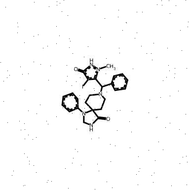 Cn1[nH]c(=O)c(I)c1C(c1ccccc1)N1CCC2(CC1)C(=O)NCN2c1ccccc1